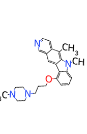 Cc1c2ccncc2cc2c3c(OCCCN4CCN(C)CC4)cccc3n(C)c12